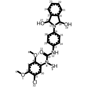 COc1cc(OC)c(N(S)C(=O)Nc2ccc(N3C(O)c4ccccc4C3O)cc2)cc1Cl